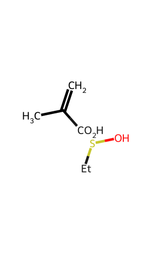 C=C(C)C(=O)O.CCSO